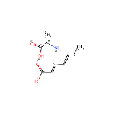 CCC=CC=CC(=O)O.C[C@H](N)C(=O)O